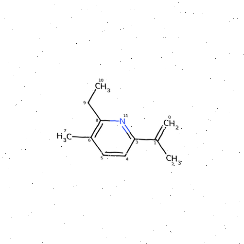 C=C(C)c1ccc(C)c(CC)n1